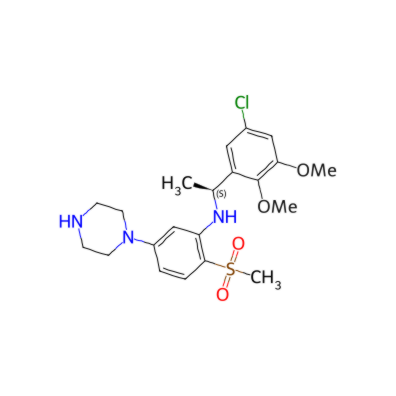 COc1cc(Cl)cc([C@H](C)Nc2cc(N3CCNCC3)ccc2S(C)(=O)=O)c1OC